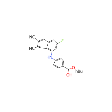 CCCCOC(O)c1ccc(Nc2cc(F)cc3cc(C#N)c(C#N)cc23)cc1